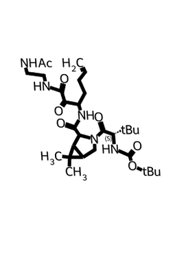 C=CCCC(NC(=O)C1C2C(CN1C(=O)[C@@H](NC(=O)OC(C)(C)C)C(C)(C)C)C2(C)C)C(=O)C(=O)NCCNC(C)=O